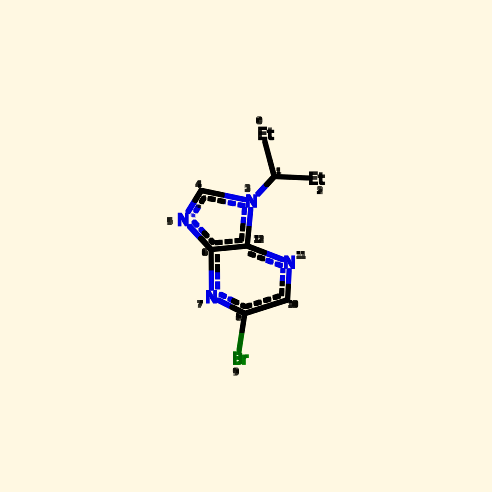 CCC(CC)n1cnc2nc(Br)cnc21